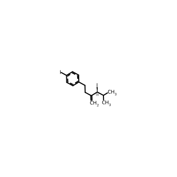 C=C(CCc1ccc(I)cc1)[C@@H](I)C(C)C